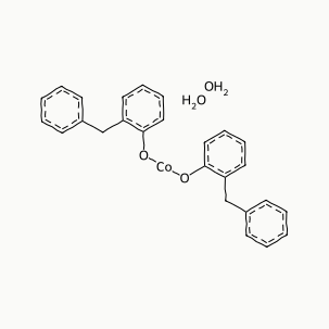 O.O.c1ccc(Cc2ccccc2[O][Co][O]c2ccccc2Cc2ccccc2)cc1